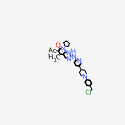 CC(=O)c1c(C)c2cnc(Nc3ccc(C4CCN(c5ccc(CCl)cc5)CC4)cn3)nc2n(C2CCCC2)c1=O